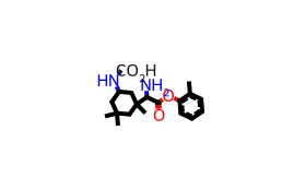 Cc1ccccc1OC(=O)C(N)C1(C)CC(NC(=O)O)CC(C)(C)C1